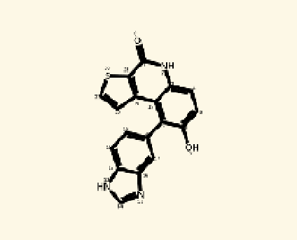 O=c1[nH]c2ccc(O)c(-c3ccc4[nH]cnc4c3)c2c2ccsc12